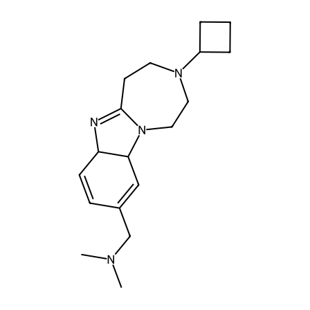 CN(C)CC1=CC2C(C=C1)N=C1CCN(C3CCC3)CCN12